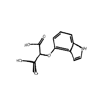 O=C(O)C(Oc1cccc2[nH]ccc12)C(=O)O